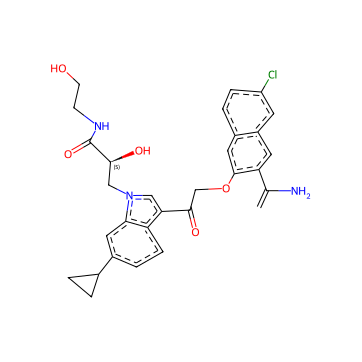 C=C(N)c1cc2cc(Cl)ccc2cc1OCC(=O)c1cn(C[C@H](O)C(=O)NCCO)c2cc(C3CC3)ccc12